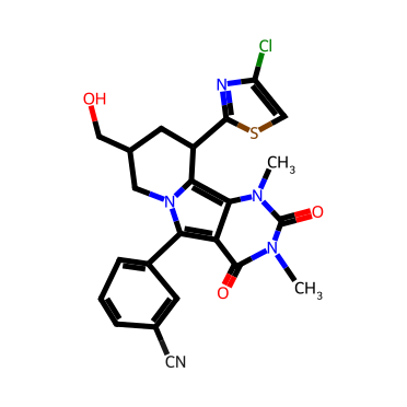 Cn1c(=O)c2c(-c3cccc(C#N)c3)n3c(c2n(C)c1=O)C(c1nc(Cl)cs1)CC(CO)C3